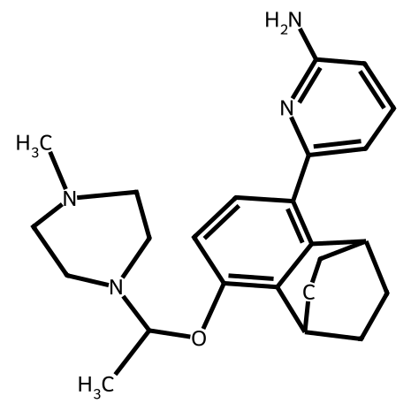 CC(Oc1ccc(-c2cccc(N)n2)c2c1C1CCC2CC1)N1CCN(C)CC1